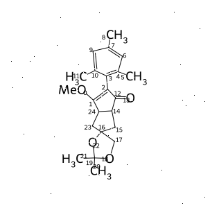 COC1=C(c2c(C)cc(C)cc2C)C(=O)C2CC3(COC(C)(C)O3)CC12